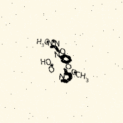 COc1cccnc1COc1ccc2oc(-c3cn(C)cn3)nc2c1.O=CO